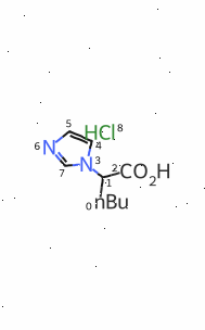 CCCCC(C(=O)O)n1ccnc1.Cl